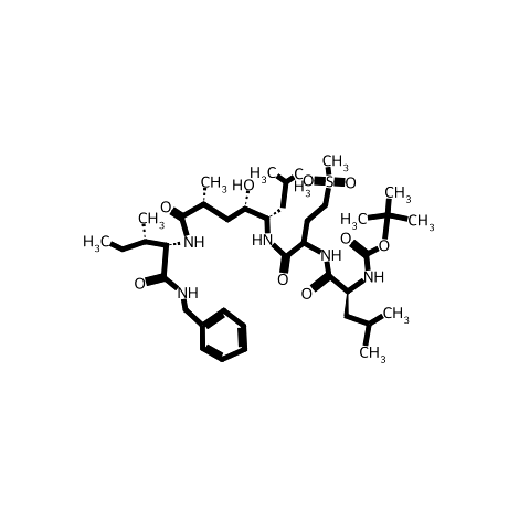 CC[C@H](C)[C@H](NC(=O)[C@H](C)C[C@H](O)[C@H](CC(C)C)NC(=O)C(CCS(C)(=O)=O)NC(=O)[C@H](CC(C)C)NC(=O)OC(C)(C)C)C(=O)NCc1ccccc1